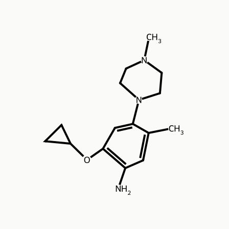 Cc1cc(N)c(OC2CC2)cc1N1CCN(C)CC1